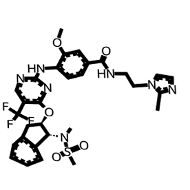 COc1cc(C(=O)NCCn2ccnc2C)ccc1Nc1ncc(C(F)(F)F)c(O[C@@H]2Cc3ccccc3[C@H]2N(C)S(C)(=O)=O)n1